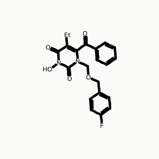 CCc1c(C(=O)c2ccccc2)n(COCc2ccc(F)cc2)c(=O)n(O)c1=O